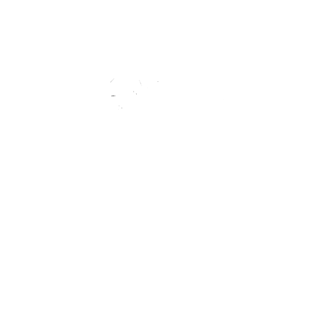 CCCCCCCCCCCCCCOCC(CNC(=O)C(CC(=O)O)NC(=O)OC(C)(C)C)OCCCCCCCCCCCCCC